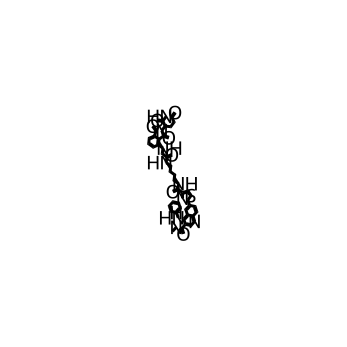 CNC(=O)c1cnc2ccc(-c3nc(C(=O)NCCCCNC(=O)CNc4cccc5c4C(=O)N(C4CCC(=O)NC4=O)C5=O)cs3)cc2c1Nc1ccccc1